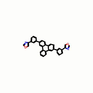 c1cc(-c2ccc3c4ccc(-c5cccc(-c6cocn6)c5)cc4c4ccccc4c3c2)cc(-c2cocn2)c1